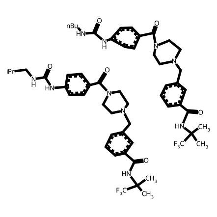 CC(C)CNC(=O)Nc1ccc(C(=O)N2CCN(Cc3cccc(C(=O)NC(C)(C)C(F)(F)F)c3)CC2)cc1.CCCCNC(=O)Nc1ccc(C(=O)N2CCN(Cc3cccc(C(=O)NC(C)(C)C(F)(F)F)c3)CC2)cc1